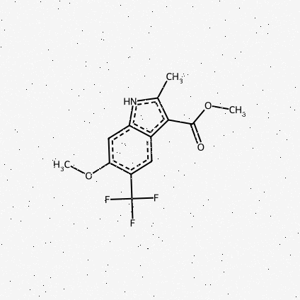 COC(=O)c1c(C)[nH]c2cc(OC)c(C(F)(F)F)cc12